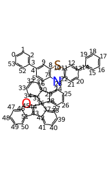 c1ccc(-c2ccc3c(c2)Sc2cc(-c4ccccc4)ccc2N3c2cccc3c2-c2ccccc2C32c3ccccc3-c3c2oc2ccccc32)cc1